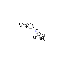 Nc1nc2c(s1)CCN(C/C=C/c1cc(Cl)c(N)c(Cl)c1)CC2